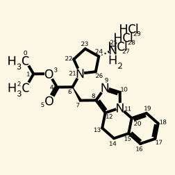 CC(C)OC(=O)[C@H](Cc1ncn2c1CCc1ccccc1-2)N1CC[C@H](N)C1.Cl.Cl.Cl